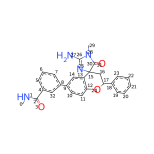 CNC(=O)c1cccc(-c2ccc3c(c2)C2(CC(c4ccccc4)O3)N=C(N)N(C)C2=O)c1